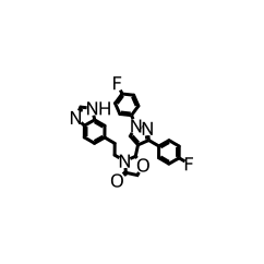 O=C1COC(c2cn(-c3ccc(F)cc3)nc2-c2ccc(F)cc2)N1CCc1ccc2nc[nH]c2c1